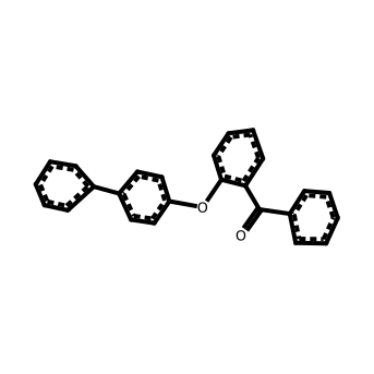 O=C(c1ccccc1)c1ccccc1Oc1ccc(-c2ccccc2)cc1